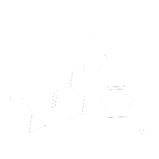 COc1ccc(CN=C=O)cc1.Cc1cccc(C(=O)O)c1.O=C(O)C1CC1